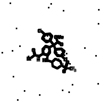 CCC(=O)Nc1ccc(C(C(=O)OC)(c2ccc(Cl)cc2)c2ccc(Cl)cc2)cc1NC1CCN(S(=O)(=O)C(F)(F)F)CC1